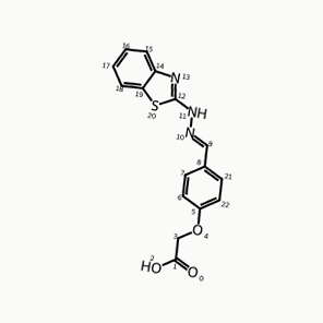 O=C(O)COc1ccc(C=NNc2nc3ccccc3s2)cc1